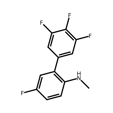 CNc1ccc(F)cc1-c1cc(F)c(F)c(F)c1